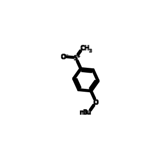 CCCCOc1ccc([S+](C)[O-])cc1